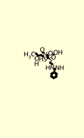 CC[C@H](O)[C@@H]1C(=O)N2C(OC(=O)O)=C(SCCNC(=N)c3ccccc3)S[C@H]12